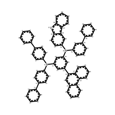 c1ccc(-c2ccc(N(c3ccc(-c4ccccc4)cc3)c3cc(-c4cc5ccccc5c5ccccc45)cc(N(c4cccc(-c5ccccc5)c4)c4ccc5oc6ccccc6c5c4)c3)cc2)cc1